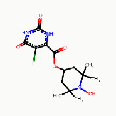 CC1(C)CC(OC(=O)c2[nH]c(=O)[nH]c(=O)c2F)CC(C)(C)N1O